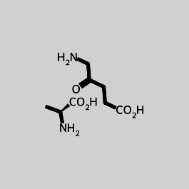 C[C@H](N)C(=O)O.NCC(=O)CCC(=O)O